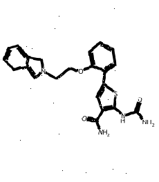 NC(=O)Nc1sc(-c2ccccc2OCCN2C=C3CC=CC=C3C2)cc1C(N)=O